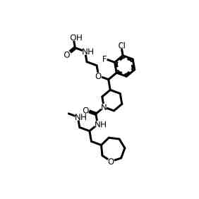 CNCC(CC1CCCCOC1)NC(=O)N1CCCC(C(OCCNC(=O)O)c2cccc(Cl)c2F)C1